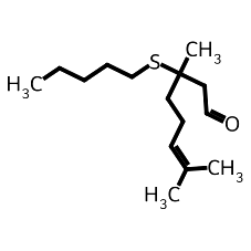 CCCCCSC(C)(CC=O)CCC=C(C)C